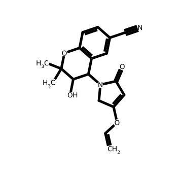 C=COC1=CC(=O)N(C2c3cc(C#N)ccc3OC(C)(C)C2O)C1